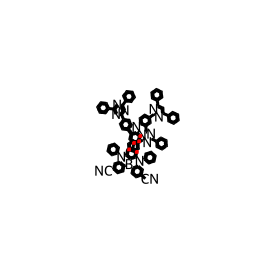 N#Cc1ccc2c(c1)N(c1ccccc1)c1cc(-c3ccc4c(c3)c3ccc(-c5nc(-c6ccccc6)nc(-c6ccccc6)n5)cc3n4-c3ccc(-c4nc(-c5ccccc5)cc(-c5ccccc5)n4)cc3-c3nc(-c4ccccc4)nc(-c4ccccc4)n3)cc3c1B2c1ccc(C#N)cc1N3c1ccccc1